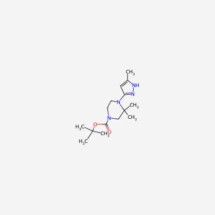 Cc1cc(N2CCN(C(=O)OC(C)(C)C)CC2(C)C)n[nH]1